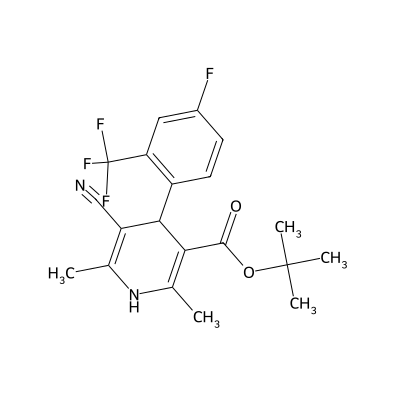 CC1=C(C#N)C(c2ccc(F)cc2C(F)(F)F)C(C(=O)OC(C)(C)C)=C(C)N1